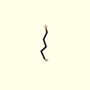 CC(C)CCCCBr